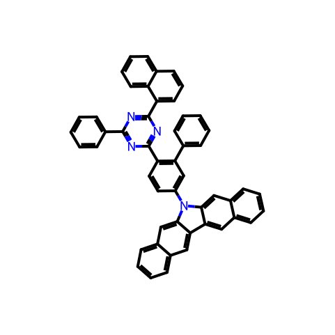 c1ccc(-c2nc(-c3ccc(-n4c5cc6ccccc6cc5c5cc6ccccc6cc54)cc3-c3ccccc3)nc(-c3cccc4ccccc34)n2)cc1